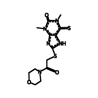 Cn1c(=S)c2[nH]c(SCC(=O)N3CCOCC3)nc2n(C)c1=O